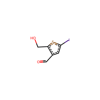 O=Cc1cc(I)sc1CO